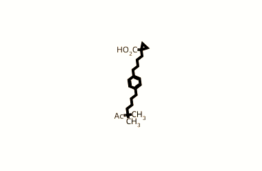 CC(=O)C(C)(C)CCCCc1ccc(CCCCC2(C(=O)O)CC2)cc1